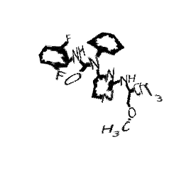 COCC(C)Nc1nccc(N(C(=O)Nc2c(F)cccc2F)c2ccccc2)n1